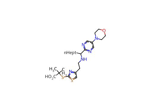 CCCCCCCC(NCCc1csc(SC(C)(C)C(=O)O)n1)c1ncc(N2CCOCC2)cn1